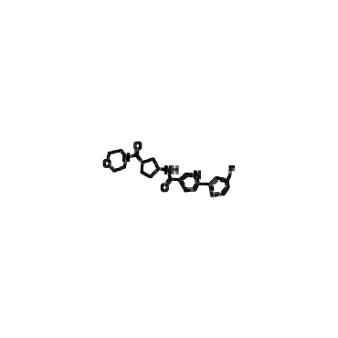 O=C(N[C@H]1CC[C@@H](C(=O)N2CCOCC2)C1)c1ccc(-c2cccc(F)c2)nc1